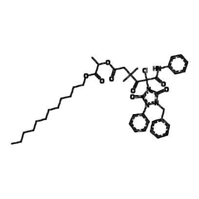 CCCCCCCCCCCCOC(=O)C(C)OC(=O)CC(C)(C)C(=O)C(Cl)(C(=O)Nc1ccccc1)n1c(=O)n(Cc2ccccc2)n(-c2ccccc2)c1=O